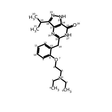 CCN(CC)CCOc1ccccc1Cc1nc2c(C(C)C)n[nH]c2c(=O)[nH]1